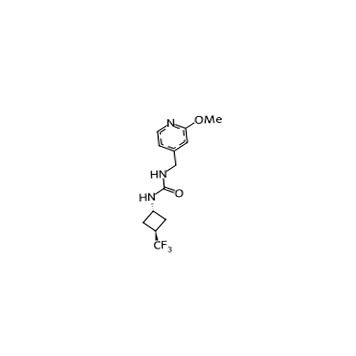 COc1cc(CNC(=O)N[C@H]2C[C@H](C(F)(F)F)C2)ccn1